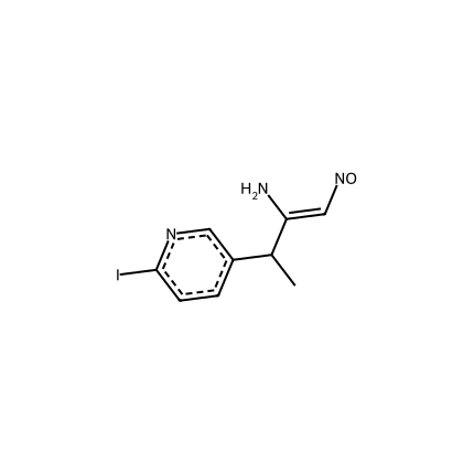 CC(/C(N)=C/N=O)c1ccc(I)nc1